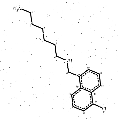 NCCCCCCNCc1cccc2c(Cl)cccc12